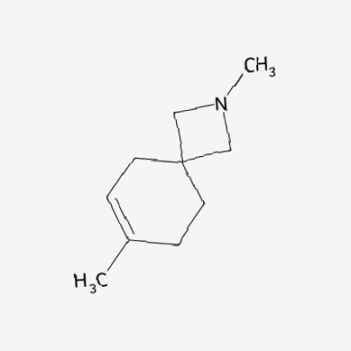 CC1=CCC2(CC1)CN(C)C2